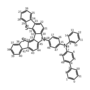 c1ccc(-c2ccc(N(c3ccccc3)c3ccc(-n4c5ccc6c7ccccc7sc6c5c5c6sc7ccccc7c6ccc54)cc3)cc2)cc1